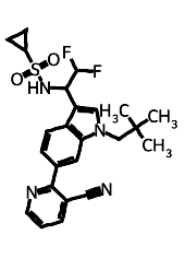 CC(C)(C)Cn1cc(C(NS(=O)(=O)C2CC2)C(F)F)c2ccc(-c3ncccc3C#N)cc21